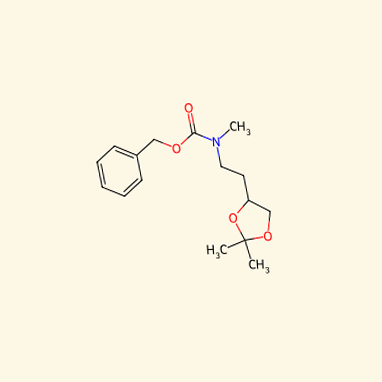 CN(CCC1COC(C)(C)O1)C(=O)OCc1ccccc1